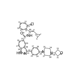 O=C(N[C@H](CC1CC1)c1ccccc1Cl)c1ccc2[nH]nc(-c3ccc(N4CCN(C5COC5)CC4)cc3)c2c1